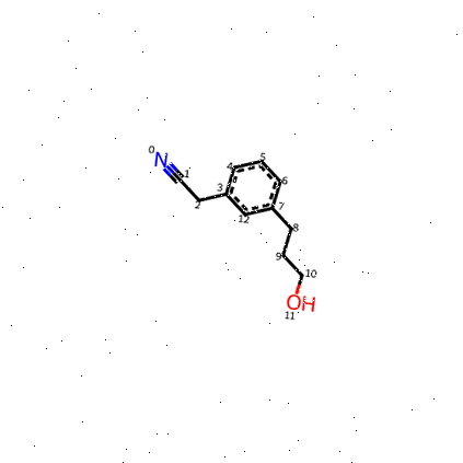 N#CCc1cccc(CCCO)c1